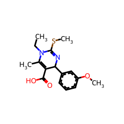 CCN1C(SC)=NC(c2cccc(OC)c2)C(C(=O)O)=C1C